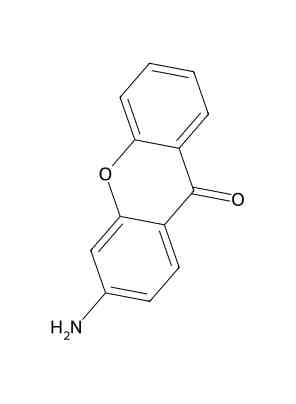 Nc1ccc2c(=O)c3ccccc3oc2c1